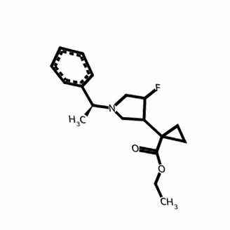 CCOC(=O)C1(C2CN([C@@H](C)c3ccccc3)CC2F)CC1